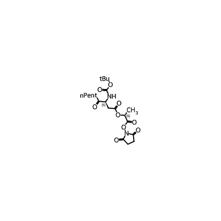 CCCCCC(=O)[C@H](CC(=O)O[C@@H](C)C(=O)ON1C(=O)CCC1=O)NC(=O)OC(C)(C)C